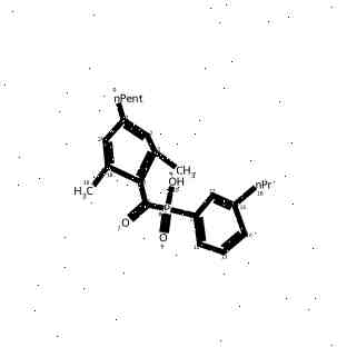 CCCCCc1cc(C)c(C(=O)P(=O)(O)c2cccc(CCC)c2)c(C)c1